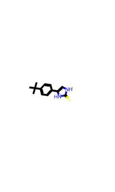 CC(C)(C)c1ccc(-c2c[nH]c(=S)[nH]2)cc1